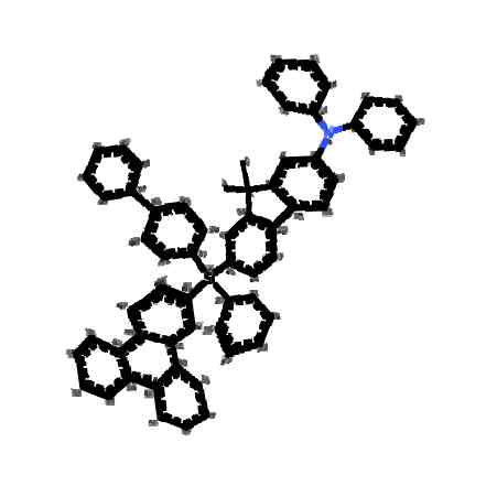 CC1(C)c2cc(N(c3ccccc3)c3ccccc3)ccc2-c2ccc([Si](c3ccccc3)(c3ccc(-c4ccccc4)cc3)c3ccc4c5ccccc5c5ccccc5c4c3)cc21